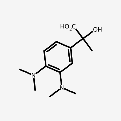 CN(C)c1ccc(C(C)(O)C(=O)O)cc1N(C)C